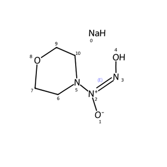 [NaH].[O-]/[N+](=N/O)N1CCOCC1